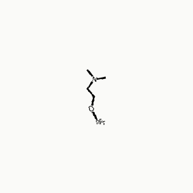 [CH2]CCOCCN(C)C